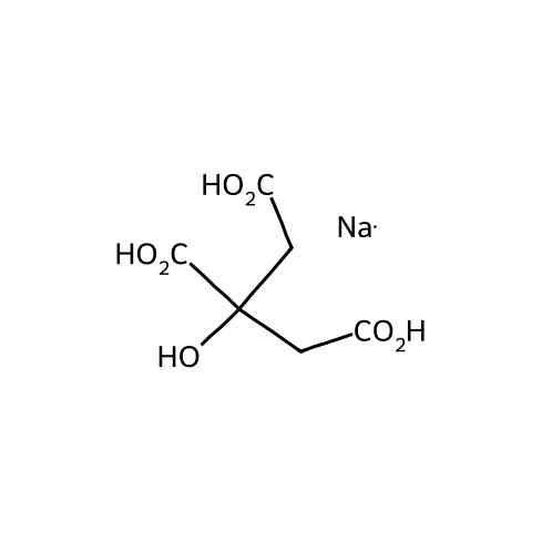 O=C(O)CC(O)(CC(=O)O)C(=O)O.[Na]